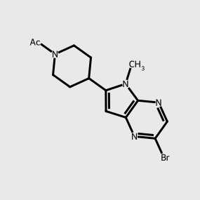 CC(=O)N1CCC(c2cc3nc(Br)cnc3n2C)CC1